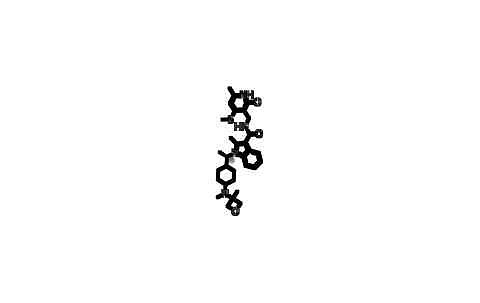 CSc1cc(C)[nH]c(=O)c1CNC(=O)c1c(C)n([C@H](C)C2CCC(N(C)C3(C)COC3)CC2)c2ccccc12